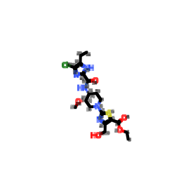 CCOC(=O)c1sc(N2CC[C@@H](NC(=O)c3nc(Cl)c(CC)[nH]3)[C@@H](OC)C2)nc1CO